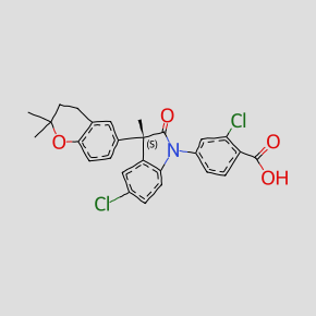 CC1(C)CCc2cc([C@]3(C)C(=O)N(c4ccc(C(=O)O)c(Cl)c4)c4ccc(Cl)cc43)ccc2O1